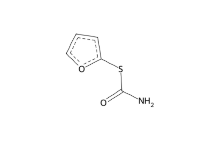 NC(=O)Sc1ccco1